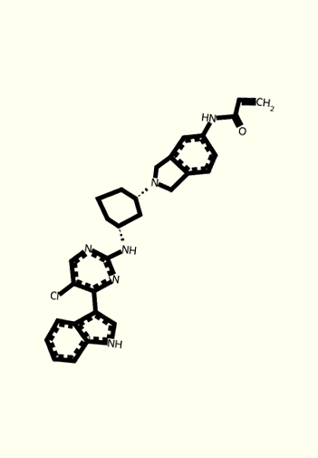 C=CC(=O)Nc1ccc2c(c1)CN([C@H]1CCC[C@@H](Nc3ncc(Cl)c(-c4c[nH]c5ccccc45)n3)C1)C2